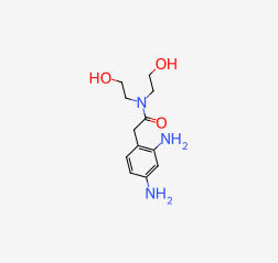 Nc1ccc(CC(=O)N(CCO)CCO)c(N)c1